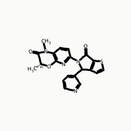 C[C@H]1Oc2nc(N3C(=O)c4sccc4C3c3cccnc3)ccc2N(C)C1=O